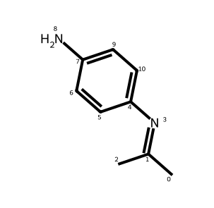 CC(C)=Nc1ccc(N)cc1